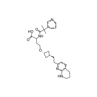 CC(C)(C(=O)NC(CCO[C@H]1C[C@H](CCc2ccc3c(n2)NCCC3)C1)C(=O)O)c1cccnc1